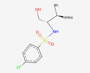 CCCCCC[C@H](C(C)C)[C@@H](CO)NS(=O)(=O)c1ccc(Cl)cc1